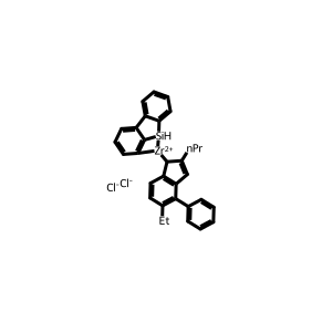 CCCC1=Cc2c(ccc(CC)c2-c2ccccc2)[CH]1[Zr+2]1[c]2cccc3c2[SiH]1c1ccccc1-3.[Cl-].[Cl-]